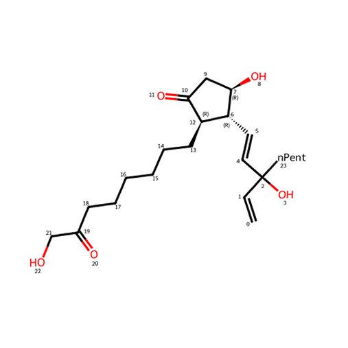 C=CC(O)(C=C[C@H]1[C@H](O)CC(=O)[C@@H]1CCCCCCC(=O)CO)CCCCC